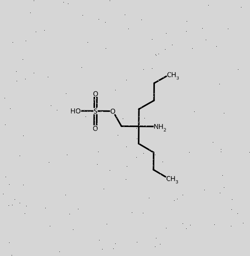 CCCCC(N)(CCCC)COS(=O)(=O)O